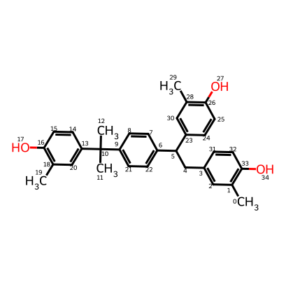 Cc1cc(CC(c2ccc(C(C)(C)c3ccc(O)c(C)c3)cc2)c2ccc(O)c(C)c2)ccc1O